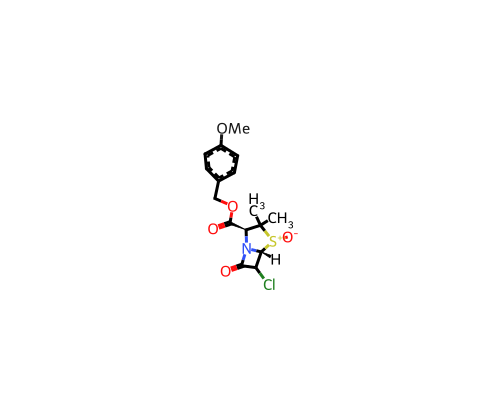 COc1ccc(COC(=O)[C@@H]2N3C(=O)C(Cl)[C@H]3[S+]([O-])C2(C)C)cc1